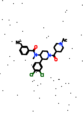 CC(=O)N1CCC(C(=O)N2CCC(N(C)C(=O)c3cccc(C#N)c3)C(c3ccc(Cl)c(Cl)c3)C2)CC1